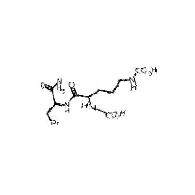 CC(C)CC(NC(=O)C(CCCNC(=O)O)NC(=O)O)C(N)=O